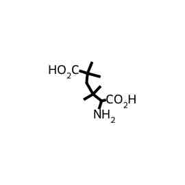 CC(C)(CC(C)(C)C(N)C(=O)O)C(=O)O